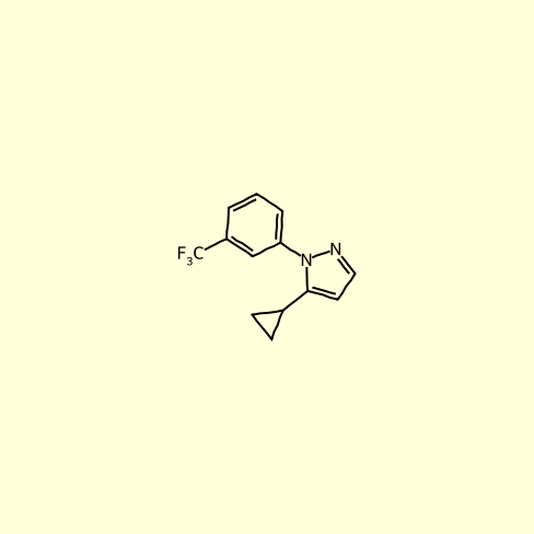 FC(F)(F)c1cccc(-n2nccc2C2CC2)c1